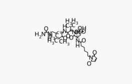 CC(C)[C@@H](NC(=O)[C@@H](CS(=O)(=O)O)NC(=O)CCCCCN1C(=O)C=CC1=O)C(=O)N[C@@H](CCCNC(N)=O)C(=O)C(C)(C)C